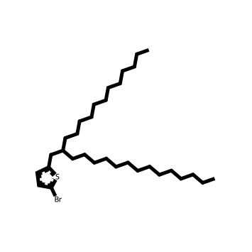 CCCCCCCCCCCCCCC(CCCCCCCCCCCC)Cc1ccc(Br)s1